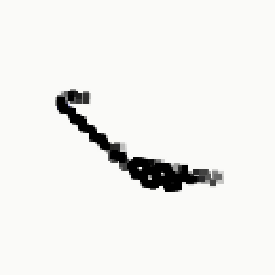 CCCCCCCC/C=C\CCCCCCCCNOCO[C@@H]1CC[C@@]2(C)C(CCC3C2CC[C@]2(C)C(CCC(=O)O)CCC32)C1